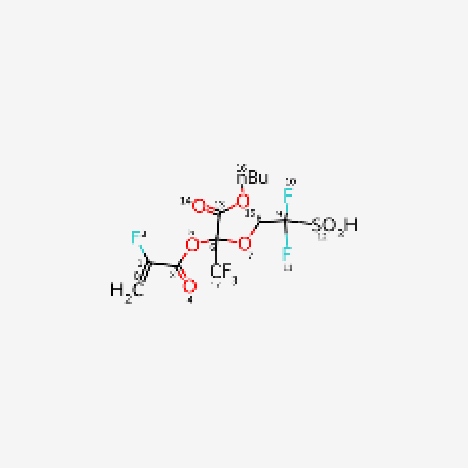 C=C(F)C(=O)OC(OCC(F)(F)S(=O)(=O)O)(C(=O)OCCCC)C(F)(F)F